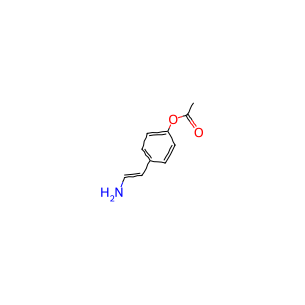 CC(=O)Oc1ccc(C=CN)cc1